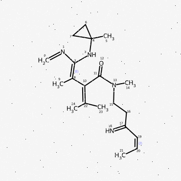 C=N/C(NC1(C)CC1)=C(\C)C(C(=O)N(C)CCC(=N)/C=C\C)=C(C)C